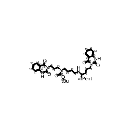 CCCCCC(CCCn1c(=O)[nH]c2ccccc2c1=O)NCCCCN(CCCn1c(=O)[nH]c2ccccc2c1=O)C(=O)OC(C)(C)C